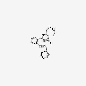 O=c1c2c(nc(-c3ccccc3O)n1CCc1ccccc1)CCOCC2